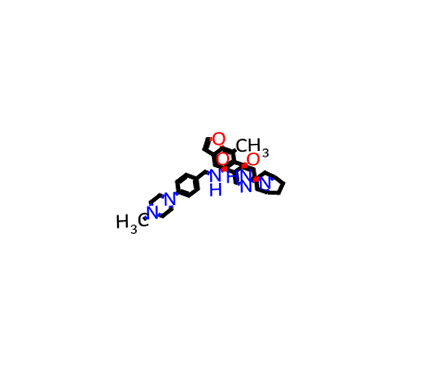 Cc1c(C(=O)NC2CC3CCC(C2)N3c2ccc(C(=O)NCc3ccc(N4CCN(C)CC4)cc3)cn2)ccc2ccoc12